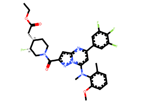 CCOC(=O)C[C@@H]1CCN(C(=O)c2cc3nc(-c4cc(F)c(F)c(F)c4)cc(N(C)c4c(C)cccc4OC)n3n2)C[C@@H]1F